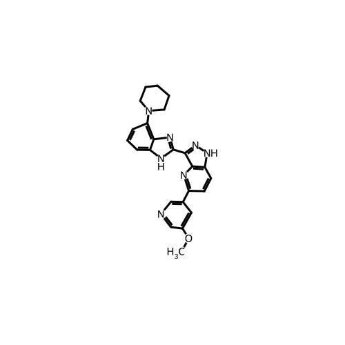 COc1cncc(-c2ccc3[nH]nc(-c4nc5c(N6CCCCC6)cccc5[nH]4)c3n2)c1